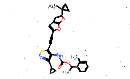 Cc1ccccc1C(C)OC(=O)Nc1c(C2CC2)nsc1C#Cc1cc2cc(C3(C(=O)O)CC3)oc2o1